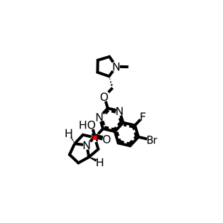 CN1CCC[C@H]1COc1nc(N2C[C@@H]3CC[C@@H](C2)N3C(=O)O)c2ccc(Br)c(F)c2n1